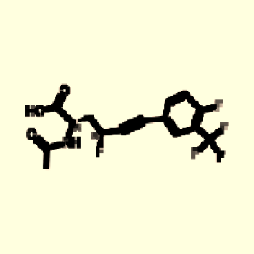 CC(=O)N[C@@H](C[C@H](F)C#Cc1ccc(F)c(C(F)(F)F)c1)C(=O)O